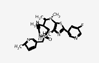 C=C(C(C)C[SH](=O)(Cc1ccc(C)nc1)NC#N)N(C)c1sc(-c2cncc(F)c2)nc1C